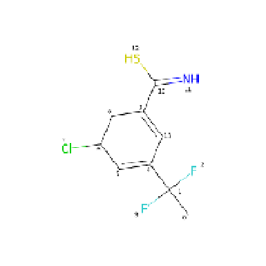 CC(F)(F)C1=CC(Cl)CC(C(=N)S)=C1